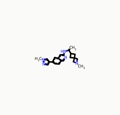 C=C(Nc1cc2cc(-c3cnn(C)c3)ccc2cn1)C1CC2(C1)CN(C)C2